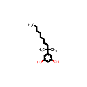 CCCCCCC=CC(C)(C)c1cc(O)cc(O)c1